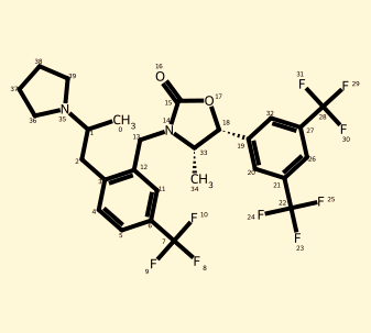 CC(Cc1ccc(C(F)(F)F)cc1CN1C(=O)O[C@H](c2cc(C(F)(F)F)cc(C(F)(F)F)c2)[C@@H]1C)N1CCCC1